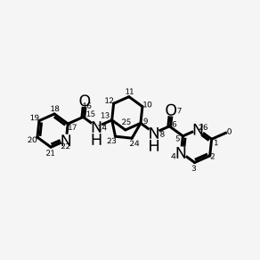 Cc1ccnc(C(=O)NC23CCCC(NC(=O)c4ccccn4)(CC2)C3)n1